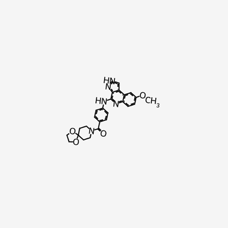 COc1ccc2nc(Nc3ccc(C(=O)N4CCC5(CC4)OCCO5)cc3)c3n[nH]cc3c2c1